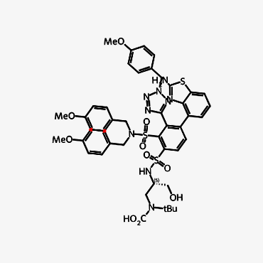 COc1ccc(CN(Cc2ccc(OC)cc2)S(=O)(=O)c2c(S(=O)(=O)N[C@H](CO)CN(C(=O)O)C(C)(C)C)ccc(-c3cccc4sc(N)nc34)c2-c2nnn(Cc3ccc(OC)cc3)n2)cc1